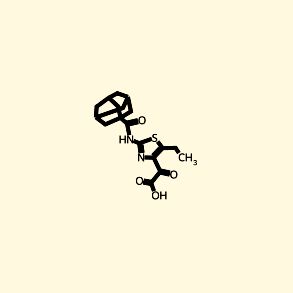 CCc1sc(NC(=O)C23CC4CC(CC(C4)C2)C3)nc1C(=O)C(=O)O